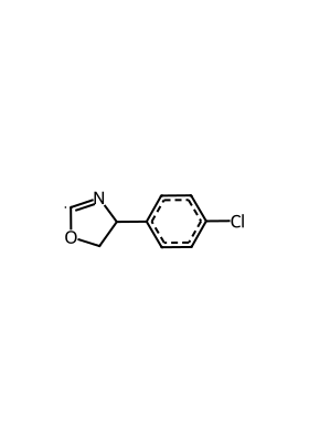 Clc1ccc(C2CO[C]=N2)cc1